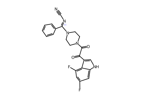 N#C/N=C(\c1ccccc1)N1CCN(C(=O)C(=O)c2c[nH]c3cc(F)cc(F)c23)CC1